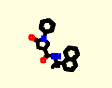 C[C@@H](NC(=O)C1CC(=O)N(c2ccccc2)C1)c1cccc2ccccc12